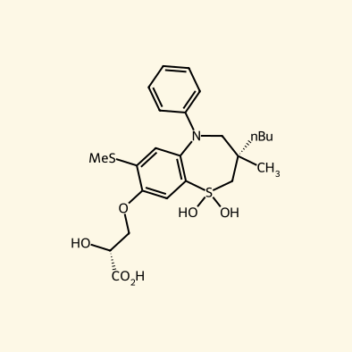 CCCC[C@@]1(C)CN(c2ccccc2)c2cc(SC)c(OC[C@@H](O)C(=O)O)cc2S(O)(O)C1